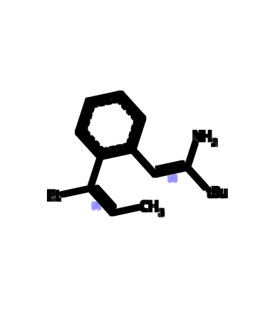 C/C=C(/CC)c1ccccc1/C=C(\N)C(C)(C)C